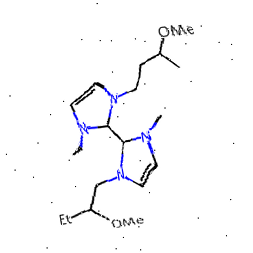 CCC(CN1C=CN(C)C1C1N(C)C=CN1CCC(C)OC)OC